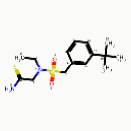 CCN(CC(N)=S)S(=O)(=O)Cc1cccc(C(C)(C)C)c1